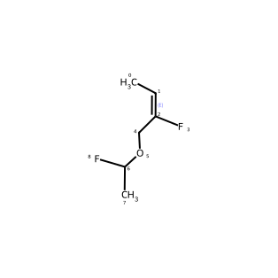 C/C=C(/F)COC(C)F